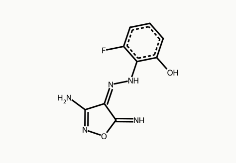 N=C1ON=C(N)/C1=N/Nc1c(O)cccc1F